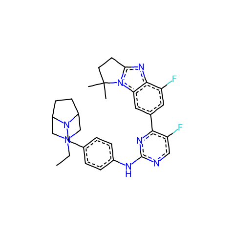 CCN1CC2CCC(C1)N2Cc1ccc(Nc2ncc(F)c(-c3cc(F)c4nc5n(c4c3)C(C)(C)CC5)n2)cc1